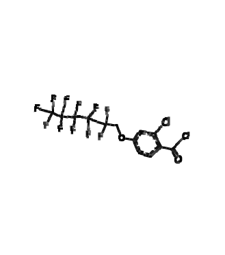 O=C(Cl)c1ccc(OCC(F)(F)C(F)(F)C(F)(F)C(F)(F)C(F)(F)F)cc1Cl